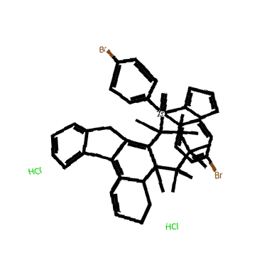 Cl.Cl.[CH2]=[Zr]([C]1=CC=CC1)([c]1ccc(Br)cc1)([c]1ccc(Br)cc1)[C]1(C)C2=C3Cc4ccccc4C3=C3C=CCCC3C2(C)C(C)(C)C(C)(C)C1(C)C